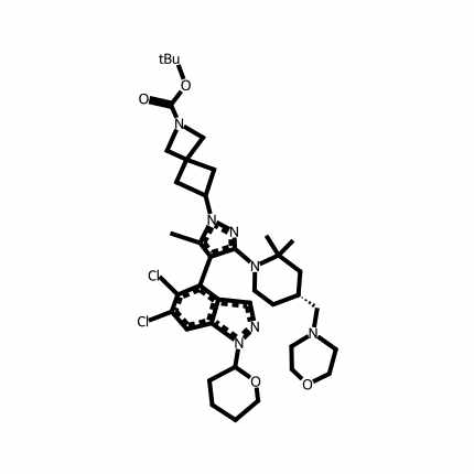 Cc1c(-c2c(Cl)c(Cl)cc3c2cnn3C2CCCCO2)c(N2CC[C@@H](CN3CCOCC3)CC2(C)C)nn1C1CC2(C1)CN(C(=O)OC(C)(C)C)C2